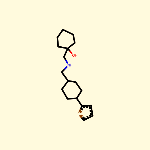 OC1(CNCC2CCC(c3cccs3)CC2)CCCCC1